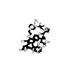 CN1CCN(CCOc2ccc3c(c2Cl)c2cc(F)oc2c2sc4ncnc(OC(C(=O)O)C5(c6ccccc6OCc6ccnn6CC(F)(F)F)CC5)c4c32)CC1